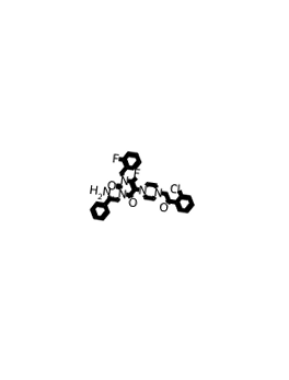 Cc1c(N2CCN(CC(=O)c3ccccc3Cl)CC2)c(=O)n(C[C@H](N)c2ccccc2)c(=O)n1Cc1c(F)cccc1F